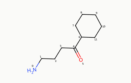 NCCCC(=O)C1CCCCC1